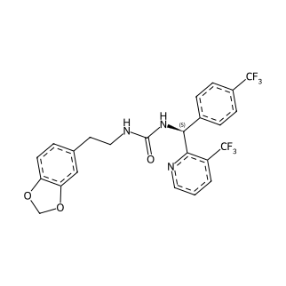 O=C(NCCc1ccc2c(c1)OCO2)N[C@@H](c1ccc(C(F)(F)F)cc1)c1ncccc1C(F)(F)F